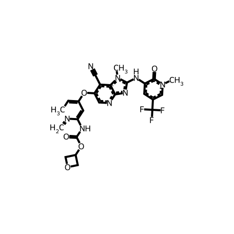 C=N/C(=C\C(=C/C)Oc1cnc2nc(Nc3cc(C(F)(F)F)cn(C)c3=O)n(C)c2c1C#N)NC(=O)OC1COC1